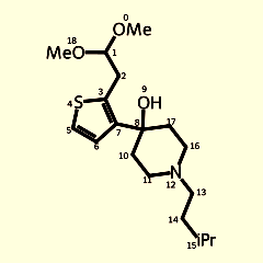 COC(Cc1sccc1C1(O)CCN(CCC(C)C)CC1)OC